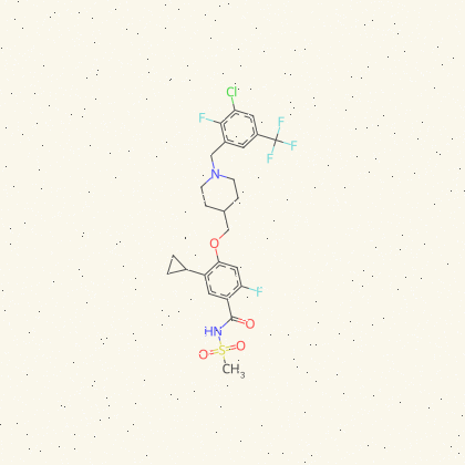 CS(=O)(=O)NC(=O)c1cc(C2CC2)c(OCC2CCN(Cc3cc(C(F)(F)F)cc(Cl)c3F)CC2)cc1F